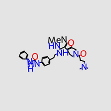 CNc1oc2c(c1C(=N)NCCc1ccc(NC(=O)Nc3ccccc3)cc1)CCN(C(=O)CCN(C)C)C2